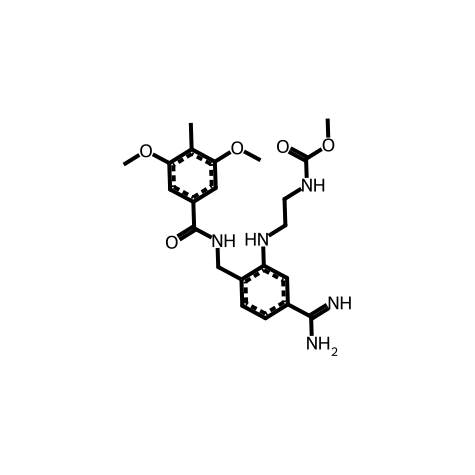 COC(=O)NCCNc1cc(C(=N)N)ccc1CNC(=O)c1cc(OC)c(C)c(OC)c1